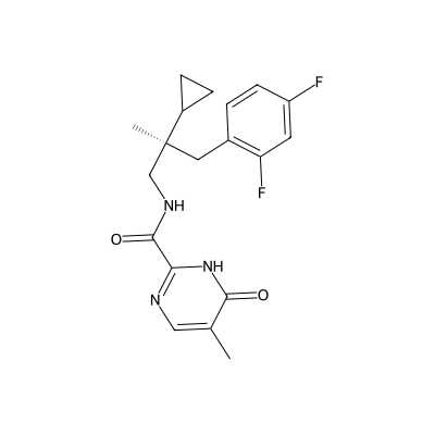 Cc1cnc(C(=O)NC[C@](C)(Cc2ccc(F)cc2F)C2CC2)[nH]c1=O